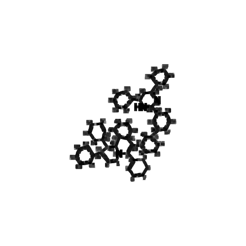 C1=CN2C(C3=CC=CCC3)=C(c3cccc(-c4cccc(C5N=C(c6ccccc6)CC(c6ccccc6)N5)c4)c3)c3ccccc3C2C(C2C=CC=CC2)C=1c1ccccc1